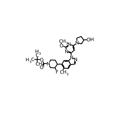 COc1nc(N2CCC(O)C2)cc(-n2ncc3cc(C)c(C4CCN(C(=O)OC(C)(C)C)CC4F)cc32)n1